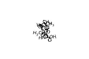 CC(C)CN(C(=O)c1cnc(C(C)(C)C)nc1NCc1ccco1)[C@@H]1CNC[C@H](C(=O)O)C1